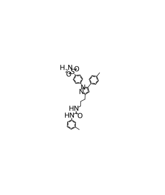 Cc1ccc(-c2cc(CCCNC(=O)Nc3cccc(C)c3)nn2-c2ccc(S(N)(=O)=O)cc2)cc1